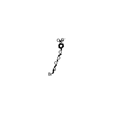 O=[N+]([O-])c1ccc(COCCOCCOCCOCCBr)cc1